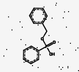 O=P(O)(OCc1ccccc1)c1ccccc1